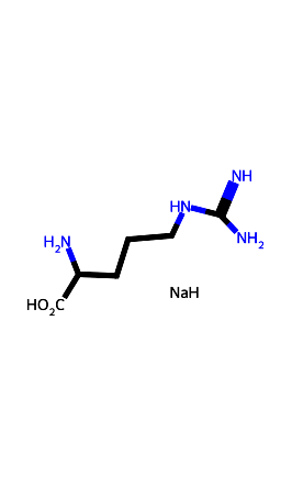 N=C(N)NCCCC(N)C(=O)O.[NaH]